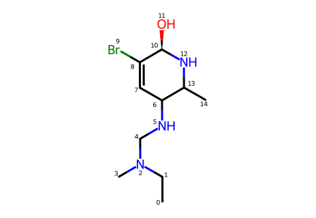 CCN(C)CNC1C=C(Br)[C@@H](O)NC1C